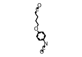 O=C=CCCCOc1ccc(N=C=O)cc1